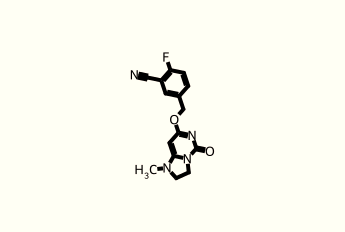 CN1CCn2c1cc(OCc1ccc(F)c(C#N)c1)nc2=O